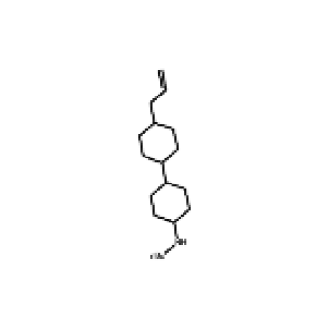 C=CCC1CCC(C2CCC(NCCCC)CC2)CC1